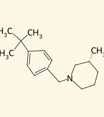 C[C@@H]1CCCN(Cc2ccc(C(C)(C)C)cc2)C1